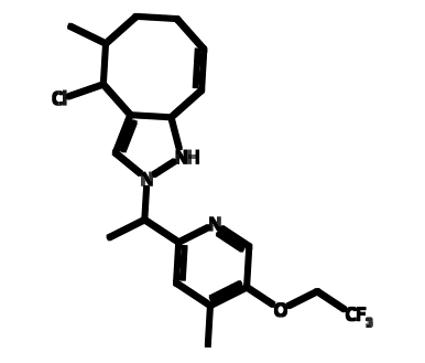 Cc1cc(C(C)N2C=C3C(/C=C\CCC(C)C3Cl)N2)ncc1OCC(F)(F)F